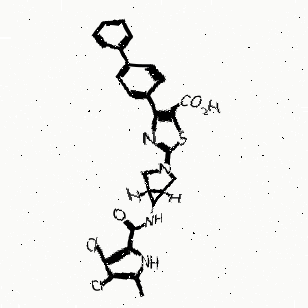 Cc1[nH]c(C(=O)N[C@@H]2[C@@H]3CN(c4nc(-c5ccc(-c6ccccc6)cc5)c(C(=O)O)s4)C[C@@H]32)c(Cl)c1Cl